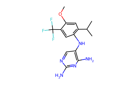 COc1cc(C(C)C)c(Nc2cnc(N)nc2N)cc1C(F)(F)F